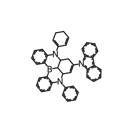 C1=CC(N2c3ccccc3B3c4ccccc4N(c4ccccc4)C4C=C(n5c6ccccc6c6ccccc65)CC2C34)=CCC1